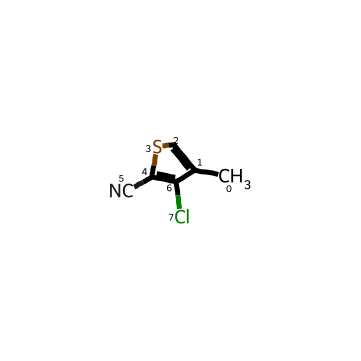 Cc1csc(C#N)c1Cl